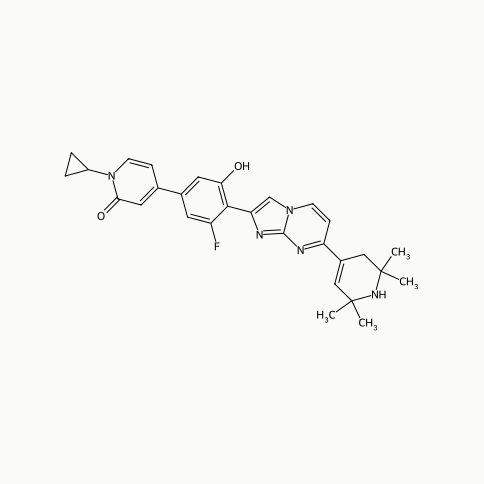 CC1(C)C=C(c2ccn3cc(-c4c(O)cc(-c5ccn(C6CC6)c(=O)c5)cc4F)nc3n2)CC(C)(C)N1